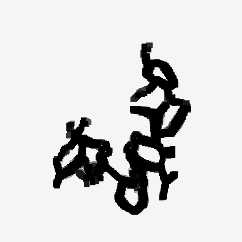 Cc1c(C(=O)N[C@H](C(=O)N2CCC[C@H]2C(=O)N[C@H](C(=O)C(F)(F)F)C(C)C)C(C)C)cnn1-c1ccc(F)cc1F